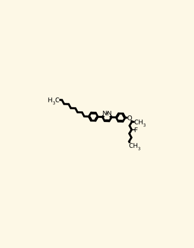 CCCCCCCCCc1ccc(-c2ccc(-c3ccc(OC(C)C[C@@H](F)CCCC)cc3)nn2)cc1